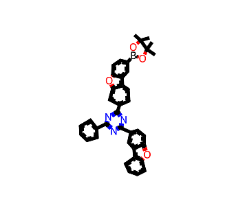 CC1(C)OB(c2ccc3oc4cc(-c5nc(-c6ccccc6)nc(-c6ccc7oc8ccccc8c7c6)n5)ccc4c3c2)OC1(C)C